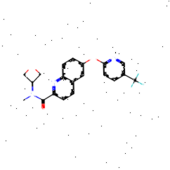 CN(C(=O)c1ccc2cc(Oc3ccc(C(F)(F)F)cn3)ccc2n1)C1COC1